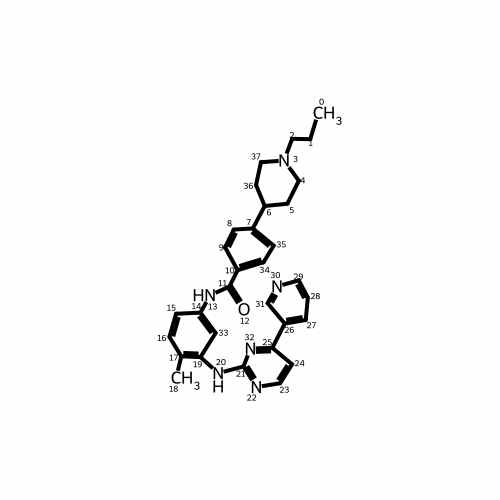 CCCN1CCC(c2ccc(C(=O)Nc3ccc(C)c(Nc4nccc(-c5cccnc5)n4)c3)cc2)CC1